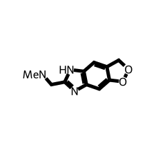 CNCc1nc2cc3c(cc2[nH]1)COO3